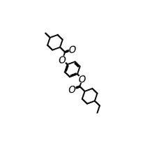 CCC1CCC(C(=O)Oc2ccc(OC(=O)C3CCC(C)CC3)cc2)CC1